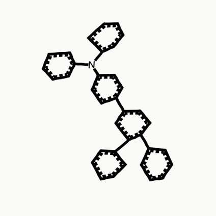 c1ccc(-c2ccc(-c3ccc(N(c4ccccc4)c4ccccc4)cc3)cc2-c2ccccc2)cc1